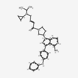 CC(C)N(CC=CC(=O)N1CCC(n2nc(-c3ccc(Oc4ccccc4)cc3)c3c(N)ncnc32)C1)C1CC1